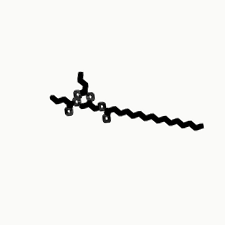 CCCCCCCCCCCCCCCC(=O)OCC(COC(=O)CCC)OC(=O)CCC